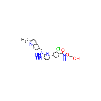 Cc1ccc2cc(CN3NNc4ccc(-c5ccc(C(=O)NOCCO)c(Cl)c5)nc43)ccc2n1